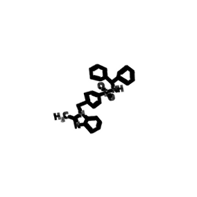 Cc1nc2ccccc2n1Cc1ccc(S(=O)(=O)NC(c2ccccc2)c2ccccc2)cc1